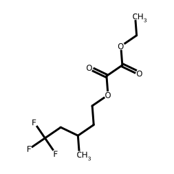 CCOC(=O)C(=O)OCCC(C)CC(F)(F)F